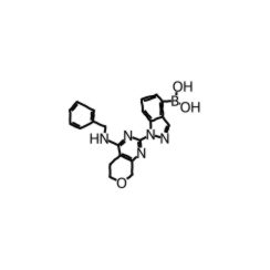 OB(O)c1cccc2c1cnn2-c1nc2c(c(NCc3ccccc3)n1)CCOC2